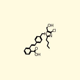 CCCCc1nc(Cl)c(CO)n1Cc1ccc(C=Cc2ccccc2C(=O)O)cc1